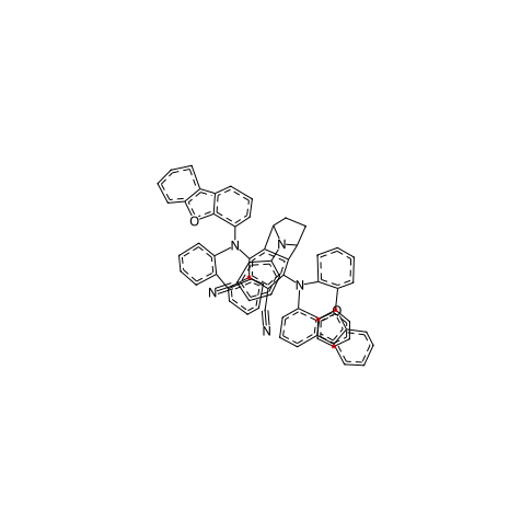 N#Cc1c(C#N)c(N(c2ccccc2-c2ccccc2)c2cccc3c2oc2ccccc23)c2c(c1N(c1ccccc1-c1ccccc1)c1cccc3c1oc1ccccc13)C1CCC2N1c1ccccc1